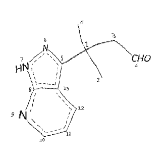 CC(C)(CC=O)c1n[nH]c2ncccc12